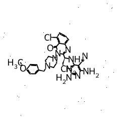 CC[C@H](Nc1nc(N)nc(N)c1C#N)c1nc2cccc(Cl)c2c(=O)n1N1CCN(Cc2ccc(OC)cc2)CC1